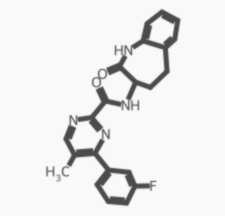 Cc1cnc(C(=O)NC2CCc3ccccc3NC2=O)nc1-c1cccc(F)c1